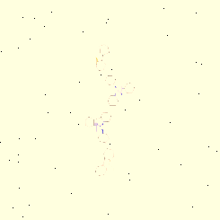 CC1(C)c2ccccc2N(c2ccc(-c3ccc4sc5ccccc5c4c3)cc2)c2ccc(-c3ccc4c(c3)c3ccccc3n4-c3ccc(-c4ccc5sc6ccccc6c5c4)cc3)cc21